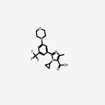 Cc1nc(-c2cc(N3CCOCC3)cc(C(F)(F)F)c2)n(C2CC2)c1C(=O)O